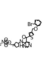 NS(=O)(=O)OC[C@@H]1CCC(Nc2ncncc2C(=O)c2cc(COc3ccccc3Br)cs2)C1